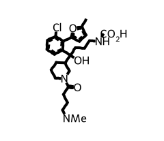 CNCCCC(=O)N1CCCC(C(O)(CCCNC(=O)O)c2cccc(Cl)c2-c2ccc(C)o2)C1